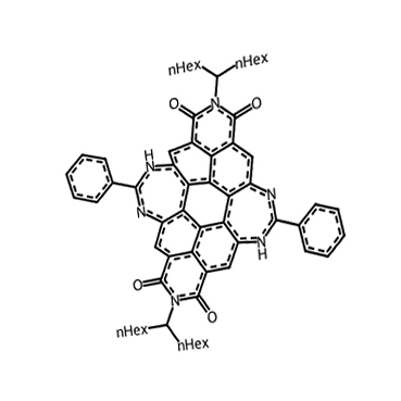 CCCCCCC(CCCCCC)n1c(=O)c2cc3nc(-c4ccccc4)[nH]c4cc5c(=O)n(C(CCCCCC)CCCCCC)c(=O)c6cc7nc(-c8ccccc8)[nH]c8cc(c1=O)c2c1c3c4c(c65)c7c81